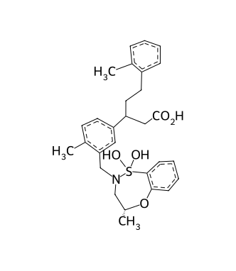 Cc1ccccc1CCC(CC(=O)O)c1ccc(C)c(CN2C[C@@H](C)Oc3ccccc3S2(O)O)c1